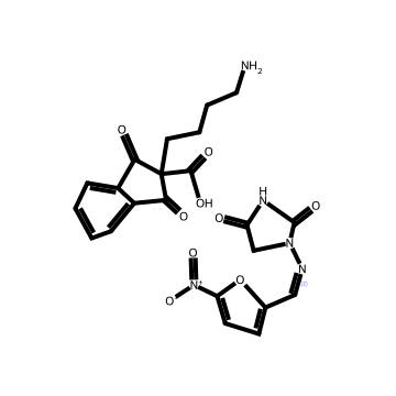 NCCCCC1(C(=O)O)C(=O)c2ccccc2C1=O.O=C1CN(/N=C\c2ccc([N+](=O)[O-])o2)C(=O)N1